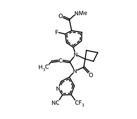 CC=C=C1N(c2cnc(C#N)c(C(F)(F)F)c2)C(=O)C2(CCC2)N1c1ccc(C(=O)NC)c(F)c1